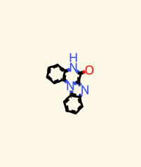 O=c1[nH]c2ccccc2n2c1nc1ccccc12